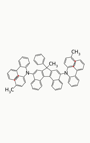 Cc1ccc(N(c2ccccc2-c2ccccc2)c2cc3c(c4ccccc24)-c2c(cc(N(c4ccc(C)cc4)c4ccccc4-c4ccccc4)c4ccccc24)C3(C)c2ccccc2)cc1